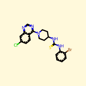 S=C(Nc1ccccc1Br)NC1CCN(c2ncnc3cc(Cl)ccc23)CC1